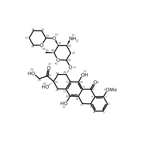 COc1cccc2c1C(=O)c1c(O)c3c(c(O)c1C2)C[C@@](O)(C(=O)CO)C[C@@H]3OC1C[C@H](N)[C@H](OC2CCCCO2)[C@H](C)O1